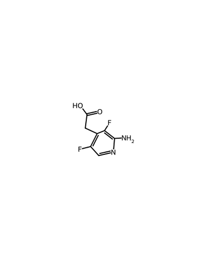 Nc1ncc(F)c(CC(=O)O)c1F